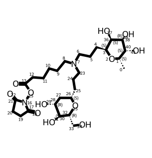 C[C@@H]1O[C@@H](CCCN(CCCCCC(=O)ON2C(=O)CCC2=O)CCC[C@H]2C[C@@H](O)[C@H](O)[C@@H](CO)O2)[C@@H](O)[C@H](O)[C@@H]1O